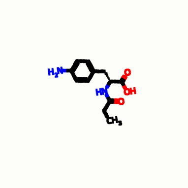 CCC(=O)N[C@H](Cc1ccc(N)cc1)C(=O)O